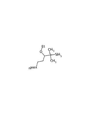 CCCCCCCCC(OCC)C(C)(C)[SiH3]